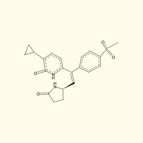 CS(=O)(=O)c1ccc(/C(=C/[C@H]2CCC(=O)N2)c2ccc(C3CC3)c(=O)[nH]2)cc1